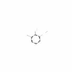 CS(=O)(=O)c1cc[c]c(Cl)c1Cl